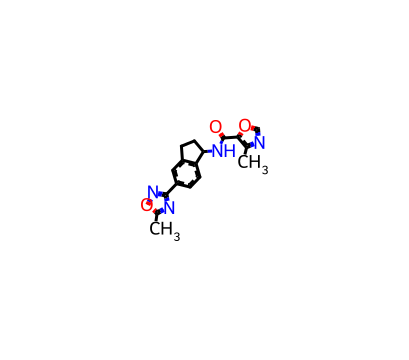 Cc1nc(-c2ccc3c(c2)CCC3NC(=O)c2ocnc2C)no1